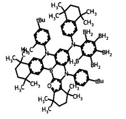 Bc1c(B)c(B)c(N(c2cc3c4c(c2)N(c2ccc(C(C)(C)C)cc2)c2c(oc5c2C(C)(C)CCC5(C)C)B4c2cc4c(cc2N3c2ccc(C(C)(C)C)cc2C)C(C)(C)CCC4(C)C)c2ccc3c(c2)C(C)(C)CCC3(C)C)c(B)c1B